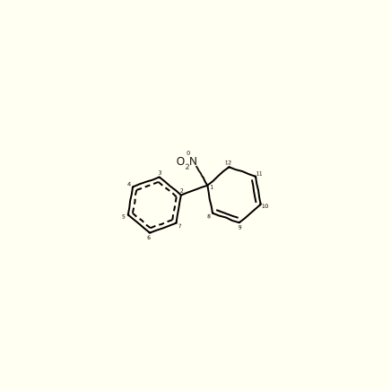 O=[N+]([O-])C1(c2ccccc2)C=CC=CC1